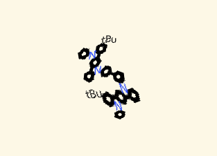 CC(C)(C)c1ccc2c(c1)c1cc3c(cc1n2-c1ccccc1)c1ccccc1n3-c1cccc(-c2ccc(-n3c4ccccc4c4cc5c(cc43)c3ccc(C(C)(C)C)cc3n5-c3ccccc3)cc2)c1